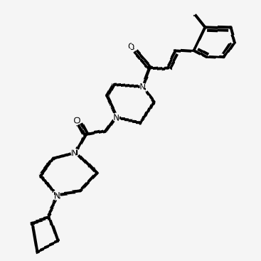 Cc1ccccc1/C=C/C(=O)N1CCN(CC(=O)N2CCN(C3CCC3)CC2)CC1